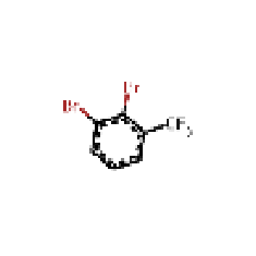 FC(F)(F)c1c[c]cc(Br)c1Br